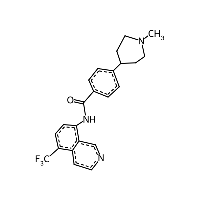 CN1CCC(c2ccc(C(=O)Nc3ccc(C(F)(F)F)c4ccncc34)cc2)CC1